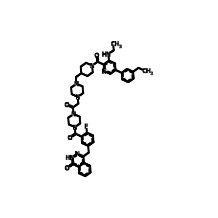 CCNc1cc(-c2cccc(CC)c2)cnc1C(=O)N1CCC(CN2CCN(CC(=O)N3CCN(C(=O)c4cc(Cc5n[nH]c(=O)c6ccccc56)ccc4F)CC3)CC2)CC1